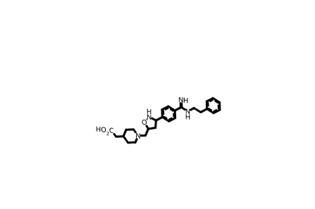 N=C(NCCc1ccccc1)c1ccc(C2CC(CN3CCC(CC(=O)O)CC3)ON2)cc1